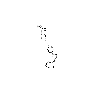 O=C(O)Cc1ccc(C#Cc2ccc(N3CC[C@H](Oc4ccccc4F)C3)nn2)cc1